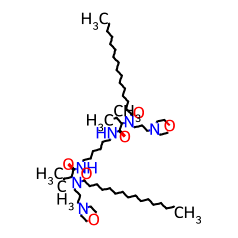 CCCCCCCCCCCCCCCC(=O)N(CCCN1CCOCC1)C(C(=O)NCCCCCCNC(=O)C(C(C)C)N(CCCN1CCOCC1)C(=O)CCCCCCCCCCCCCCC)C(C)C